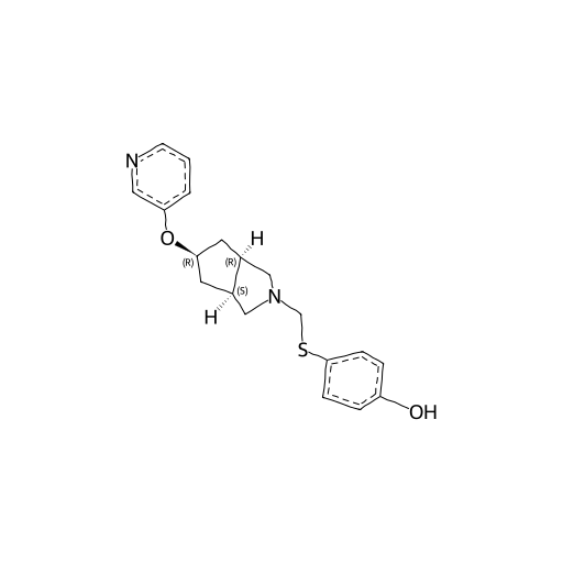 Oc1ccc(SCN2C[C@H]3C[C@@H](Oc4cccnc4)C[C@H]3C2)cc1